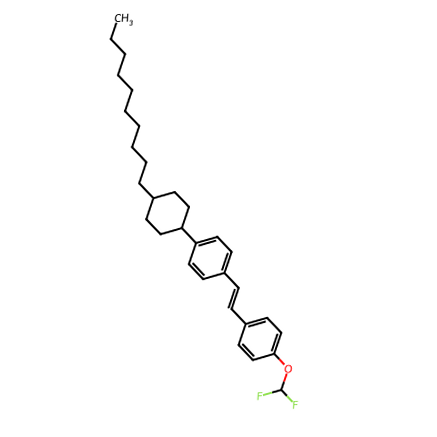 CCCCCCCCCCC1CCC(c2ccc(C=Cc3ccc(OC(F)F)cc3)cc2)CC1